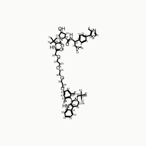 Cc1ncsc1-c1ccc(C(CN(C)C)NC(=O)[C@@H]2C[C@@H](O)CN2C(=O)C(NC(=O)COCCOCCOCCOc2cc(F)c([C@@H]3c4[nH]c5ccccc5c4C[C@@H](C)N3CC(C)(C)F)c(F)c2)C(C)(C)C)cc1